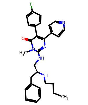 CCCCN[C@H](CNc1nc(-c2ccncc2)c(-c2ccc(F)cc2)c(=O)n1C)Cc1ccccc1